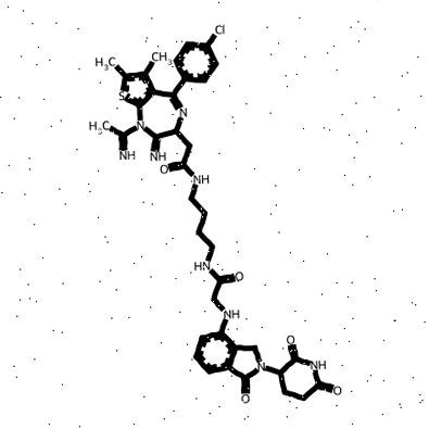 CC(=N)N1C(=N)C(CC(=O)NCCCCNC(=O)CNc2cccc3c2CN(C2CCC(=O)NC2=O)C3=O)N=C(c2ccc(Cl)cc2)c2c1sc(C)c2C